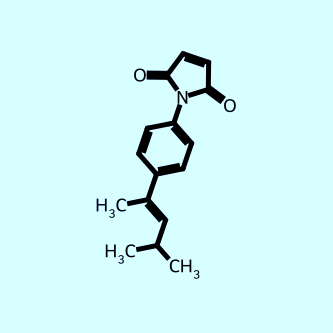 CC(=CC(C)C)c1ccc(N2C(=O)C=CC2=O)cc1